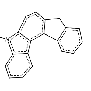 Cn1c2ccccc2c2c3c(ccc21)Cc1ccccc1-3